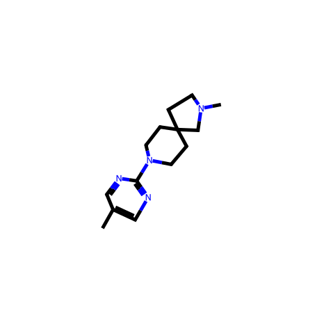 Cc1cnc(N2CCC3(CCN(C)C3)CC2)nc1